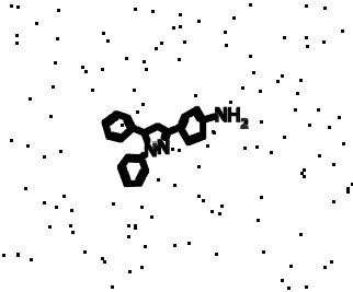 Nc1ccc(C2=NN(c3ccccc3)C(c3ccccc3)C2)cc1